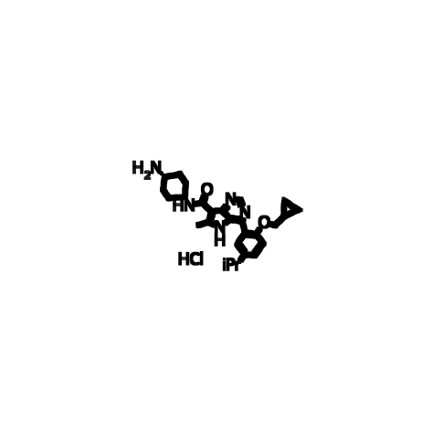 Cc1[nH]c2c(-c3cc(C(C)C)ccc3OCC3CC3)ncnc2c1C(=O)N[C@H]1CC[C@@H](N)CC1.Cl